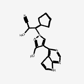 N#CC(O)C(C1CCCC1)n1cc(-c2ncnc3[nH]ccc23)c(O)n1